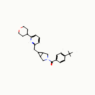 CC(C)(C)c1ccc(C(=O)N2CC3C(Cc4[c]ccc(C5CCOCC5)n4)C3C2)cc1